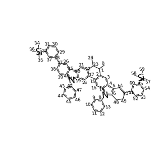 CC1c2cc3c4c(n(-c5ccccc5)c3cc2-c2cc3c(cc2C1C)c1cc(-c2cccc([Si](C)(C)C)c2)ccc1n3-c1ccccc1)CCC(c1cccc([Si](C)(C)C)c1)=C4